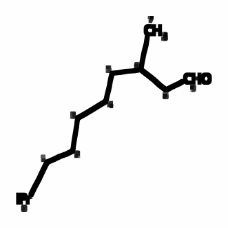 CC(C)CCCCCC(C)CC=O